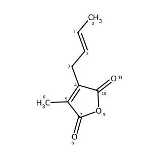 CC=CCC1=C(C)C(=O)OC1=O